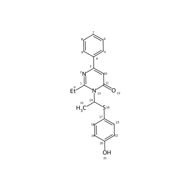 CCc1nc(-c2ccccc2)cc(=O)n1C(C)Sc1ccc(O)cc1